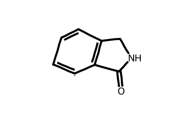 O=C1NCc2ccc[c]c21